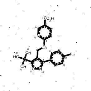 O=C(O)c1ccc(OCc2c(-c3ccc(F)cc3)noc2C(O)(O)O)nc1